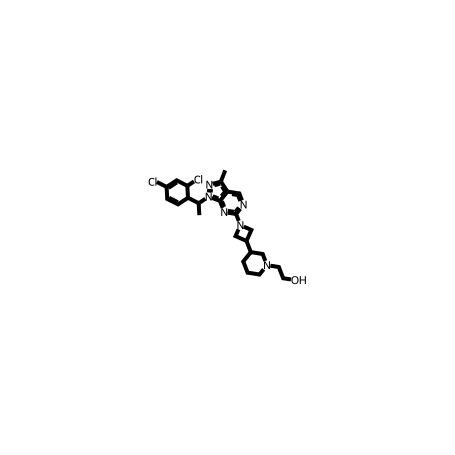 Cc1nn(C(C)C2C=CC(Cl)=CC2Cl)c2nc(N3CC(C4CCCN(CCO)C4)C3)ncc12